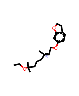 CCOC(C)(C)CCC/C(C)=C/COc1ccc2c(c1)OCC2